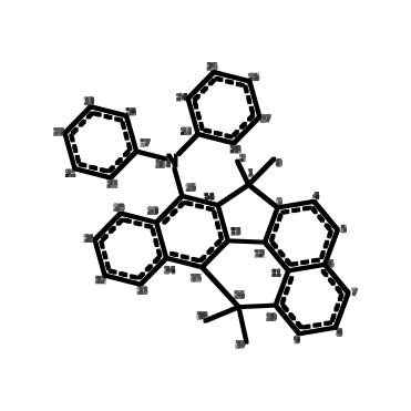 CC1(C)c2ccc3cccc4c3c2-c2c1c(N(c1ccccc1)c1ccccc1)c1ccccc1c2C4(C)C